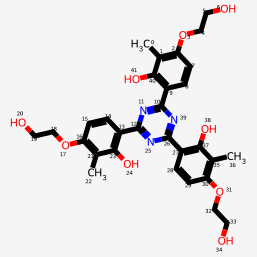 Cc1c(OCCO)ccc(-c2nc(-c3ccc(OCCO)c(C)c3O)nc(-c3ccc(OCCO)c(C)c3O)n2)c1O